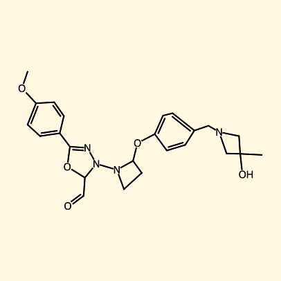 COc1ccc(C2=NN(N3CCC3Oc3ccc(CN4CC(C)(O)C4)cc3)C(C=O)O2)cc1